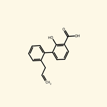 C=CCc1ccccc1-c1cccc(C(=O)O)c1O